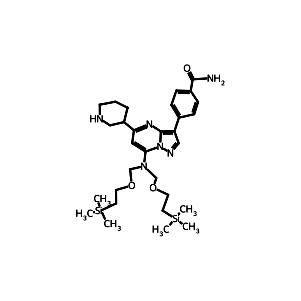 C[Si](C)(C)CCOCN(COCC[Si](C)(C)C)c1cc(C2CCCNC2)nc2c(-c3ccc(C(N)=O)cc3)cnn12